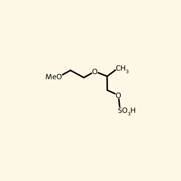 COCCOC(C)COS(=O)(=O)O